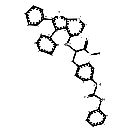 COC(=O)C(Cc1ccc(NC(=O)Nc2ccccc2)cc1)Nc1ncnc2oc(-c3ccccc3)c(-c3ccccc3)c12